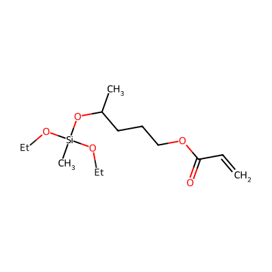 C=CC(=O)OCCCC(C)O[Si](C)(OCC)OCC